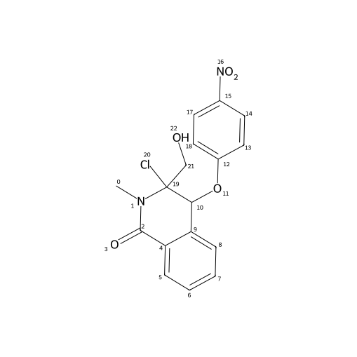 CN1C(=O)c2ccccc2C(Oc2ccc([N+](=O)[O-])cc2)C1(Cl)CO